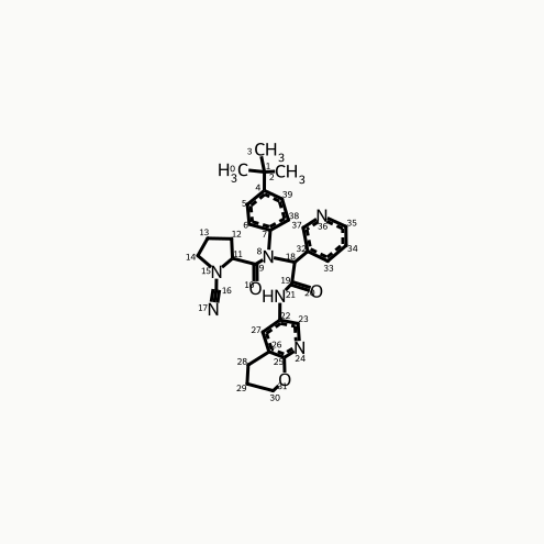 CC(C)(C)c1ccc(N(C(=O)C2CCCN2C#N)C(C(=O)Nc2cnc3c(c2)CCCO3)c2cccnc2)cc1